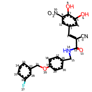 N#C/C(=C\c1cc(O)c(O)c([N+](=O)[O-])c1)C(=O)NCc1ccc(OCc2cccc(F)c2)cc1